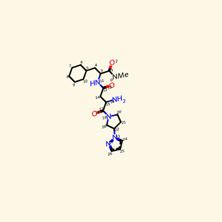 CNC(=O)C(CC1CCCCC1)NC(=O)CC(N)C(=O)N1CCC(n2cccn2)C1